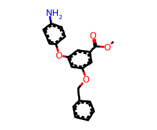 COC(=O)c1cc(OCc2ccccc2)cc(Oc2ccc(N)cc2)c1